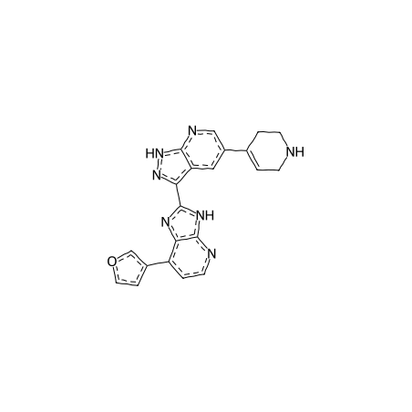 C1=C(c2cnc3[nH]nc(-c4nc5c(-c6ccoc6)ccnc5[nH]4)c3c2)CCNC1